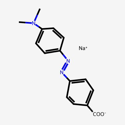 CN(C)c1ccc(N=Nc2ccc(C(=O)[O-])cc2)cc1.[Na+]